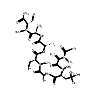 C=C(C(=O)N(C)[C@@H](CC(C)(C)O)C(=O)N[C@H](C(=O)N(C)[C@@H](CC(C)C)C(=O)N[C@@H](C)C(=O)N[C@H](C)C(=O)N(C)[C@@H](CC(C)C)C(=O)NC)C(C)C)N(C)C(=O)CCC